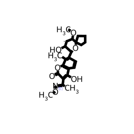 CO/N=C(\C)c1c(O)c2ccc(C3OC4(CCCC4)C(OC)[CH]C3O)c(C)c2oc1=O